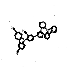 N#CC1=CCc2c(n(-c3ccc(-c4cccc(C5=C(n6c7ccccc7c7ccccc76)CCC=C5)c4)cc3C#N)c3ccc(C#N)cc23)C=C1